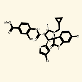 COC(=O)c1ccc(NC(=O)[C@@H]2[C@H](C)N(CC3CC3)[C@@]3(C(=O)Nc4cc(Cl)ccc43)[C@H]2c2cc(Cl)cs2)c([N+](=O)[O-])c1